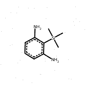 C[Si](C)(C)c1c(N)cccc1N